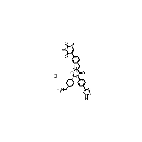 Cl.Cn1cc(-c2ccc(C[C@H](N)C(=O)N(c3ccc(-c4nn[nH]n4)cc3)C(=O)[C@H]3CC[C@H](CN)CC3)cc2)c(=O)n(C)c1=O